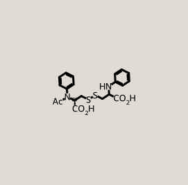 CC(=O)N(c1ccccc1)[C@@H](CSSCC(Nc1ccccc1)C(=O)O)C(=O)O